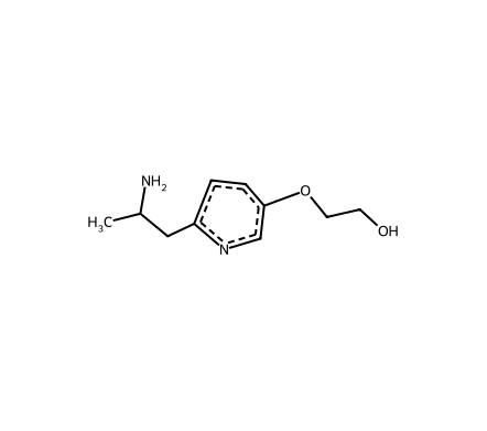 CC(N)Cc1ccc(OCCO)cn1